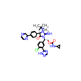 CC(C)(C)C[C@]1(C2C=CC(c3cnccn3)=CC2)NC(=N)N([C@H](COC(=O)NC2CC2)c2ccc(Cl)c(-c3ncn[nH]3)c2)C1=O